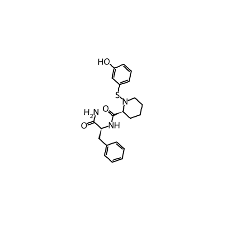 NC(=O)[C@H](Cc1ccccc1)NC(=O)[C@@H]1CCCCN1Sc1cccc(O)c1